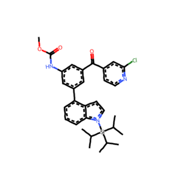 COC(=O)Nc1cc(C(=O)c2ccnc(Cl)c2)cc(-c2cccc3c2ccn3[Si](C(C)C)(C(C)C)C(C)C)c1